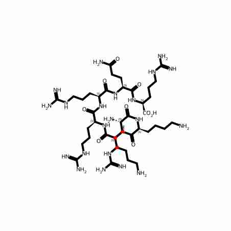 N=C(N)NCCC[C@H](NC(=O)[C@H](CCC(N)=O)NC(=O)[C@H](CCCNC(=N)N)NC(=O)[C@H](CCCNC(=N)N)NC(=O)[C@H](CCCCN)NC(=O)[C@H](CCCCN)NC(=O)[C@@H](N)CCCNC(=N)N)C(=O)O